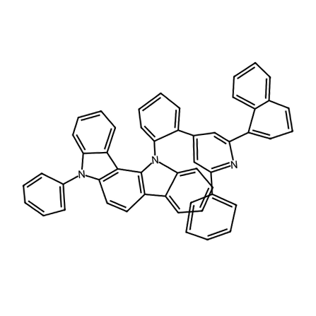 c1ccc(-c2cc(-c3ccccc3-n3c4ccccc4c4ccc5c(c6ccccc6n5-c5ccccc5)c43)cc(-c3cccc4ccccc34)n2)cc1